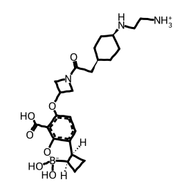 [NH3+]CCN[C@H]1CC[C@@H](CC(=O)N2CC(Oc3ccc4c(c3C(=O)O)O[B-](O)(O)[C@@H]3CC[C@H]43)C2)CC1